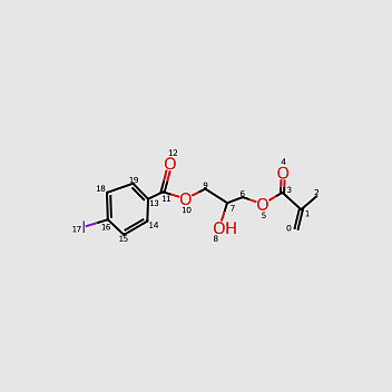 C=C(C)C(=O)OCC(O)COC(=O)c1ccc(I)cc1